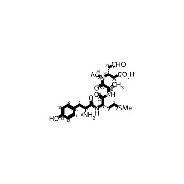 CSCC[C@H](NC(=O)[C@@H](N)Cc1ccc(O)cc1)C(=O)N[C@@H](C)C(=O)N(C(C)=O)[C@H](CC=O)CC(=O)O